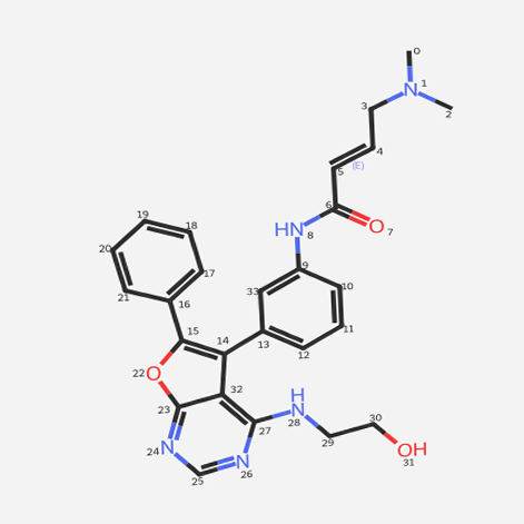 CN(C)C/C=C/C(=O)Nc1cccc(-c2c(-c3ccccc3)oc3ncnc(NCCO)c23)c1